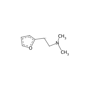 CN(C)C[CH]c1ccco1